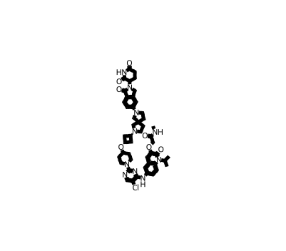 CNC(=O)COc1cc2cc(Nc3nc(N4CCC(O[C@H]5C[C@H](N6CCC7(CCN(c8ccc9c(c8)CN(C8CCC(=O)NC8=O)C9=O)C7)C6)C5)CC4)ncc3Cl)ccc2n(C(C)C)c1=O